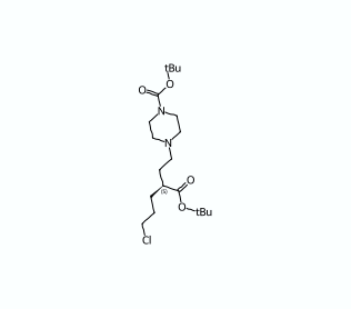 CC(C)(C)OC(=O)[C@@H](CCCCl)CCN1CCN(C(=O)OC(C)(C)C)CC1